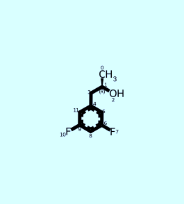 C[C@@H](O)Cc1cc(F)cc(F)c1